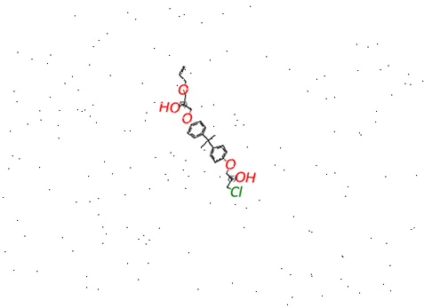 C=CCOC[C@@H](O)COc1ccc(C(C)(C)c2ccc(OC[C@H](O)CCl)cc2)cc1